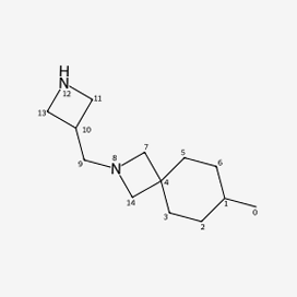 CC1CCC2(CC1)CN(CC1CNC1)C2